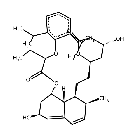 CCC(Oc1c(C(C)C)cccc1C(C)C)C(=O)O[C@H]1C[C@H](O)C=C2C=C[C@H](C)[C@H](CC[C@@H]3C[C@@H](O)CC(=O)O3)[C@H]21